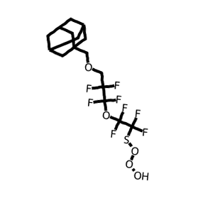 OOOSC(F)(F)C(F)(F)OC(F)(F)C(F)(F)COCC12CC3CC(CC(C3)C1)C2